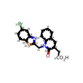 O=C(O)Cc1cc2ccccc2n(Cc2nc3cc(Br)ccc3s2)c1=O